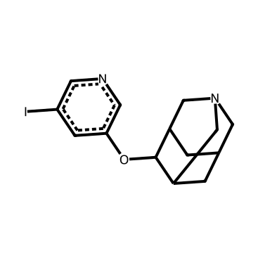 Ic1cncc(OC2C3CC4CC2CN(C4)C3)c1